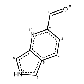 O=Cc1ccc2c[nH]cc2n1